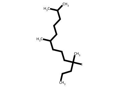 CCCC(C)(I)CCCC(C)CCCC(C)C